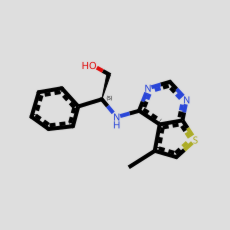 Cc1csc2ncnc(N[C@H](CO)c3ccccc3)c12